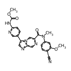 COC(=O)Nc1ccc(-c2cnc3cnc(C(=O)N(C)c4ccc(C#N)c(OC)c4)cn23)cn1